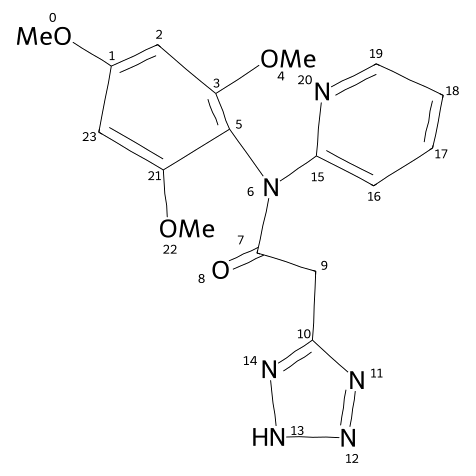 COc1cc(OC)c(N(C(=O)Cc2nn[nH]n2)c2ccccn2)c(OC)c1